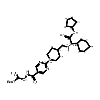 CC(C)COC(C)ONC(=O)c1cnc(N2CCC(CN[C@H](C(=O)OC3CCCC3)C3CCCCC3)CC2)nc1